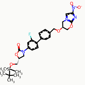 CC(C)(C)[Si](C)(C)OC[C@H]1CN(c2ccc(-c3ccc(CO[C@@H]4COc5nc([N+](=O)[O-])cn5C4)cc3)c(F)c2)C(=O)O1